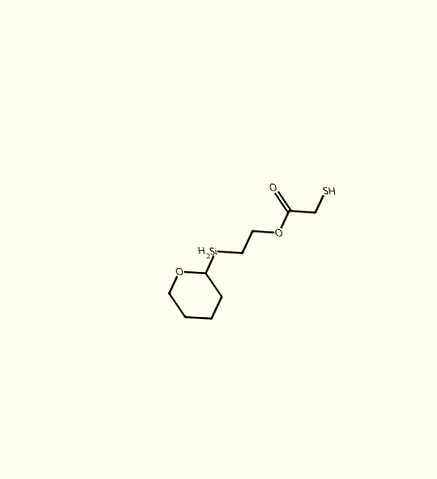 O=C(CS)OCC[SiH2]C1CCCCO1